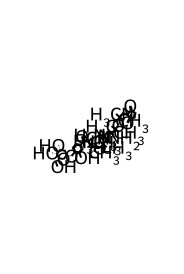 CN(CC(C)(C)OC(C)(C)CN(N)/C=C(\N)C(C)(C)OCC(C)(C)CN1C(=O)C=CC1=O)C(=O)c1ccc(O[C@H]2C[C@@H](O)[C@@H](O)[C@@H](CO)O2)c(O)c1